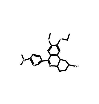 CCOc1cc2c(cc1OC)C(c1ccc(N(C)C)nc1)=NC1CCC(O)CC21